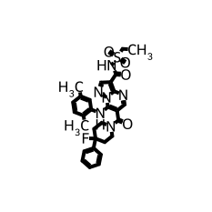 CCS(=O)(=O)NC(=O)c1cnn2c(Nc3cc(C)ccc3C)c(C(=O)N3CCC(F)(c4ccccc4)CC3)cnc12